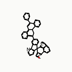 C1=C(c2ccccc2)c2ccccc2C2CC(c3ccc4c(c3)-c3ncccc3C43c4ccccc4-c4cccc5cccc3c45)=c3ccccc3=C12